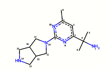 Cc1cc(C(C)(C)N)nc(N2CC3CNCC3C2)n1